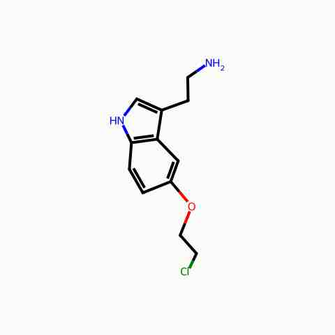 NCCc1c[nH]c2ccc(OCCCl)cc12